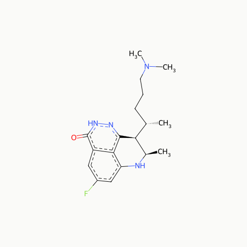 C[C@@H](CCCN(C)C)[C@@H]1c2n[nH]c(=O)c3cc(F)cc(c23)N[C@@H]1C